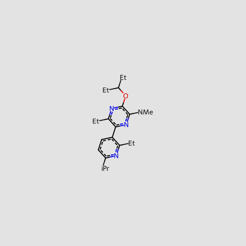 CCc1nc(C(C)C)ccc1-c1nc(NC)c(OC(CC)CC)nc1CC